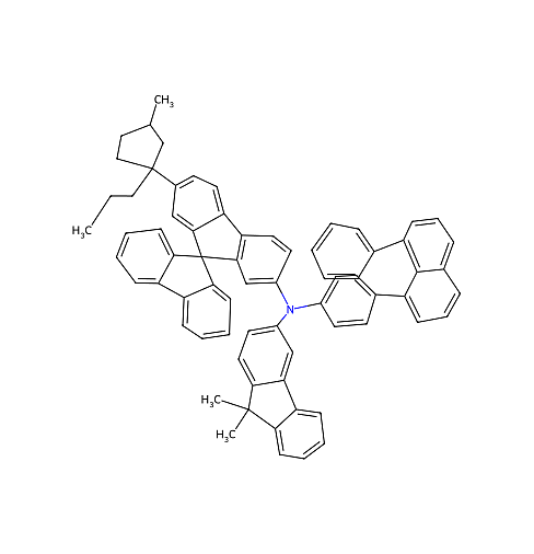 CCCC1(c2ccc3c(c2)C2(c4ccccc4-c4ccccc42)c2cc(N(c4ccc(-c5cccc6cccc(-c7ccccc7)c56)cc4)c4ccc5c(c4)-c4ccccc4C5(C)C)ccc2-3)CCC(C)C1